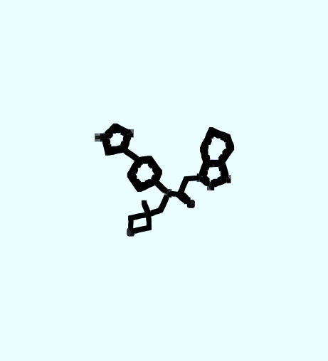 CC1(CN(C(=O)Cn2nnc3ccccc32)c2ccc(-c3c[nH]cn3)cc2)COC1